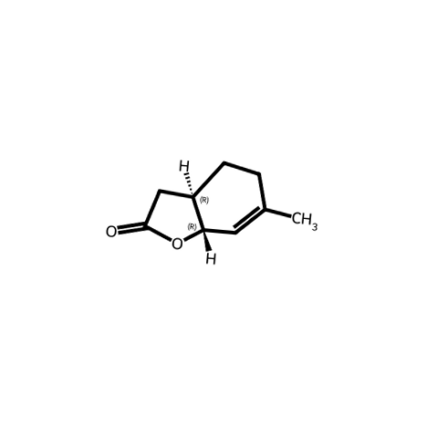 CC1=C[C@@H]2OC(=O)C[C@H]2CC1